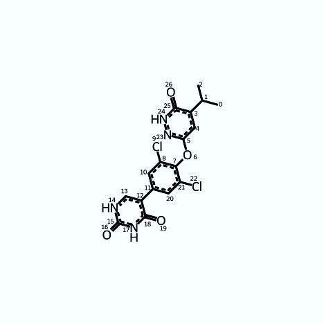 CC(C)c1cc(Oc2c(Cl)cc(-c3c[nH]c(=O)[nH]c3=O)cc2Cl)n[nH]c1=O